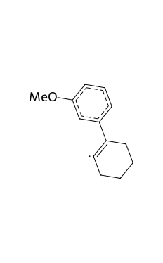 COc1cccc(C2=[C]CCCC2)c1